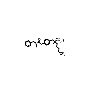 CC(CCCCC(F)(F)F)(Cc1ccc(CC(=O)NCc2ccccc2)cc1)C(=O)O